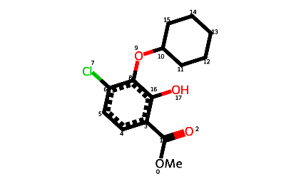 COC(=O)c1ccc(Cl)c(OC2CCCCC2)c1O